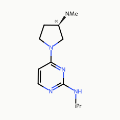 CN[C@@H]1CCN(c2ccnc(NC(C)C)n2)C1